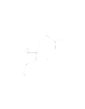 NC(=O)CC1(N)CNC(=O)OC1